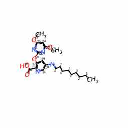 CCCCCCCCC=Nc1cnc(C(=O)O)c(Oc2nc(OC)cc(OC)n2)c1